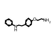 NCCOc1ccc(CCNc2ccccc2)cc1